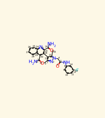 Cc1nn(CC(=O)Nc2cccc(F)c2)c(C)c1-c1c(C(N)=O)nc2ccccc2c1C(N)=O